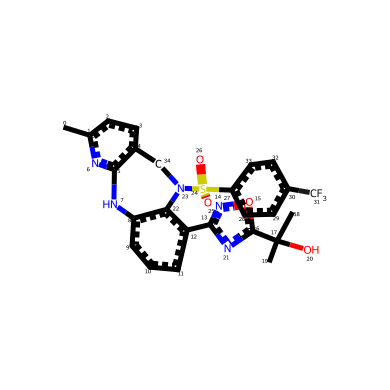 Cc1ccc2c(n1)Nc1cccc(-c3noc(C(C)(C)O)n3)c1N(S(=O)(=O)c1ccc(C(F)(F)F)cc1)C2